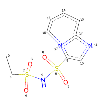 CCS(=O)(=O)NS(=O)(=O)c1cnc2ccccn12